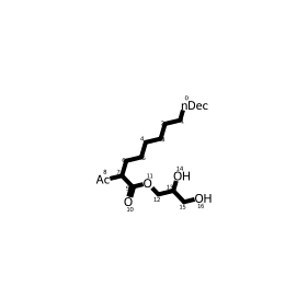 CCCCCCCCCCCCCCCCC(C(C)=O)C(=O)OCC(O)CO